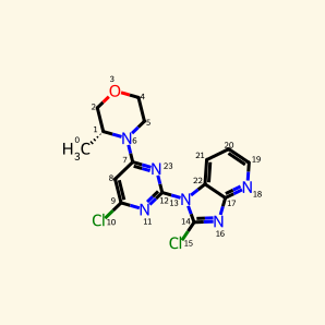 C[C@@H]1COCCN1c1cc(Cl)nc(-n2c(Cl)nc3ncccc32)n1